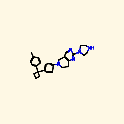 Cc1ccc(C2(c3ccc(N4CCc5nc(N6CCNCC6)ncc5C4)cc3)CCC2)cc1